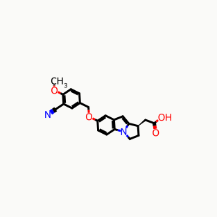 COc1ccc(COc2ccc3c(c2)cc2n3CC[C@@H]2CC(=O)O)cc1C#N